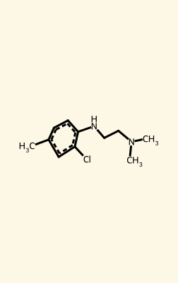 Cc1ccc(NCCN(C)C)c(Cl)c1